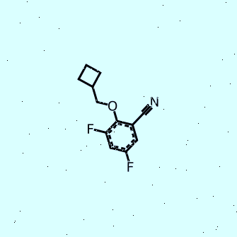 N#Cc1cc(F)cc(F)c1OCC1CCC1